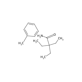 CCC(CC)(CC)C(N)=O.Cc1ccccc1